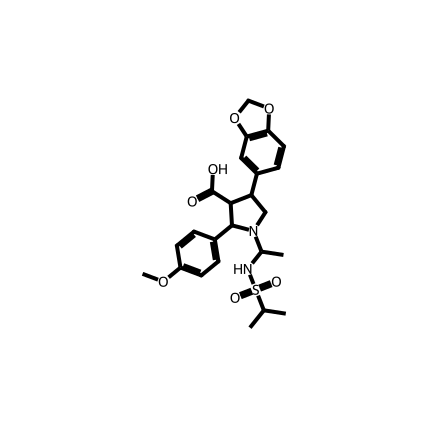 COc1ccc(C2C(C(=O)O)C(c3ccc4c(c3)OCO4)CN2C(C)NS(=O)(=O)C(C)C)cc1